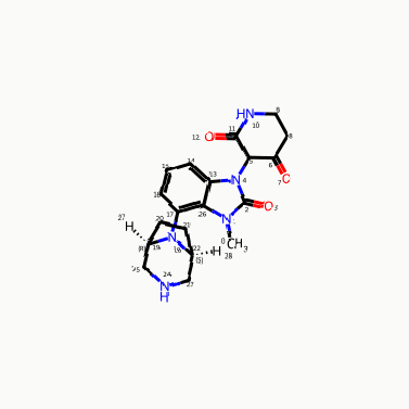 Cn1c(=O)n(C2C(=O)CCNC2=O)c2cccc(N3[C@@H]4CC[C@H]3CNC4)c21